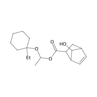 CCC1(OC(C)OC(=O)C2CC3C=CC2C3O)CCCCC1